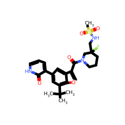 CC(C)(C)c1cc(-c2ccc[nH]c2=O)cc2c(C(=O)N3CCCC(F)(CNS(C)(=O)=O)C3)coc12